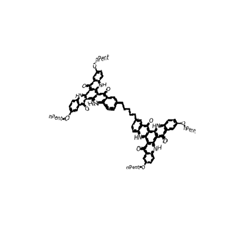 CCCCCOc1ccc2[nH]c3c4c(=O)c5cc(CCCCCc6ccc7[nH]c8c(c(=O)c7c6)c6[nH]c7ccc(OCCCCC)cc7c(=O)c6c6[nH]c7ccc(OCCCCC)cc7c(=O)c86)ccc5[nH]c4c4c(=O)c5cc(OCCCCC)ccc5[nH]c4c3c(=O)c2c1